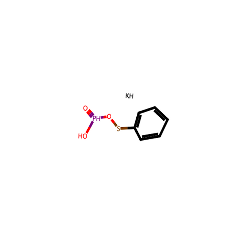 O=[PH](O)OSc1ccccc1.[KH]